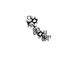 O=S(=O)(OCNc1cccc(Cl)c1[C]1CC1)c1ccc(B(O)O)c(Cl)c1